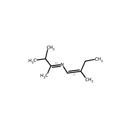 CC/C(C)=C\N=C(/C)C(C)C